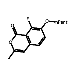 CCCCCOc1ccc2cc(C)oc(=O)c2c1F